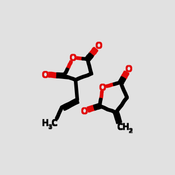 C=C1CC(=O)OC1=O.CC=CC1CC(=O)OC1=O